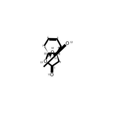 O=C1C[C@]23CC=CC[C@]2(COC3=O)O1